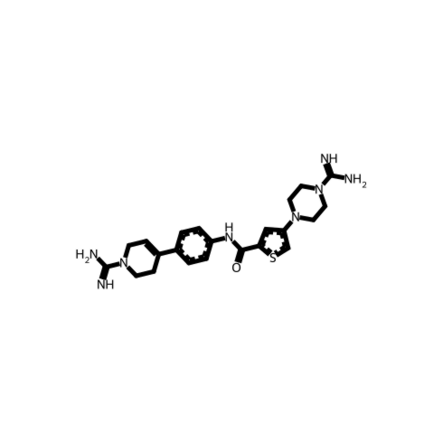 N=C(N)N1CC=C(c2ccc(NC(=O)c3cc(N4CCN(C(=N)N)CC4)cs3)cc2)CC1